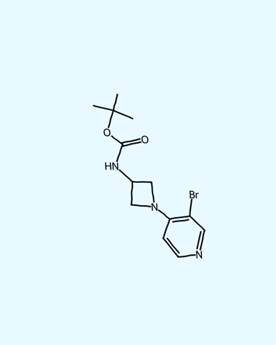 CC(C)(C)OC(=O)NC1CN(c2ccncc2Br)C1